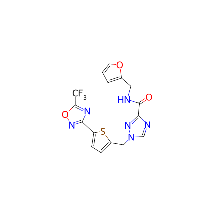 O=C(NCc1ccco1)c1ncn(Cc2ccc(-c3noc(C(F)(F)F)n3)s2)n1